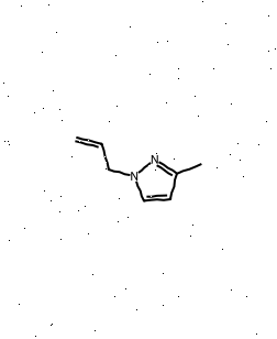 C=CCn1ccc(C)n1